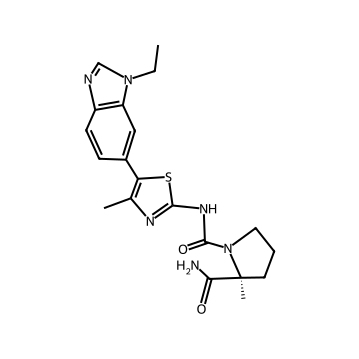 CCn1cnc2ccc(-c3sc(NC(=O)N4CCC[C@@]4(C)C(N)=O)nc3C)cc21